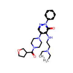 CCN(CC)CCNc1c(N2CCN(C(=O)C3CCOC3)CC2)cnn(-c2ccccc2)c1=O